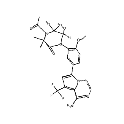 [2H]C1([2H])N(c2cc(-c3cc(C(F)(F)F)c4c(N)ncnn34)ccc2OC)C(=O)C(C)(C)N(C(C)=O)C1([2H])[2H]